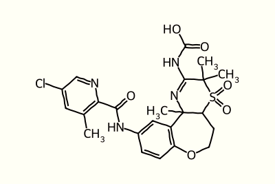 Cc1cc(Cl)cnc1C(=O)Nc1ccc2c(c1)C1(C)N=C(NC(=O)O)C(C)(C)S(=O)(=O)C1CCO2